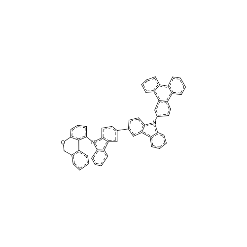 c1ccc2c(c1)COc1cccc(-n3c4ccccc4c4cc(-c5ccc6c(c5)c5ccccc5n6-c5ccc6c7ccccc7c7ccccc7c6c5)ccc43)c1-2